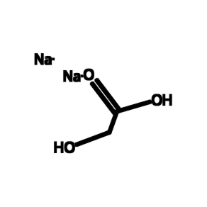 O=C(O)CO.[Na].[Na]